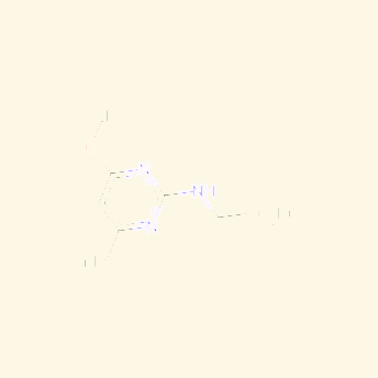 CCCc1cc(OC(C)C)nc(NCC(=O)OCC)n1